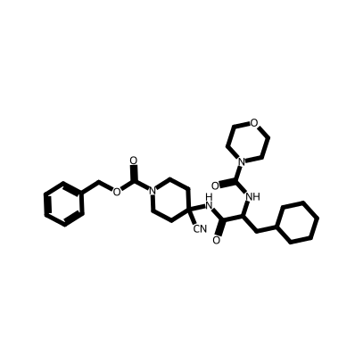 N#CC1(NC(=O)C(CC2CCCCC2)NC(=O)N2CCOCC2)CCN(C(=O)OCc2ccccc2)CC1